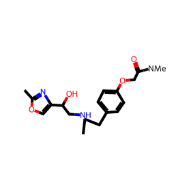 CNC(=O)COc1ccc(CC(C)NCC(O)c2coc(C)n2)cc1